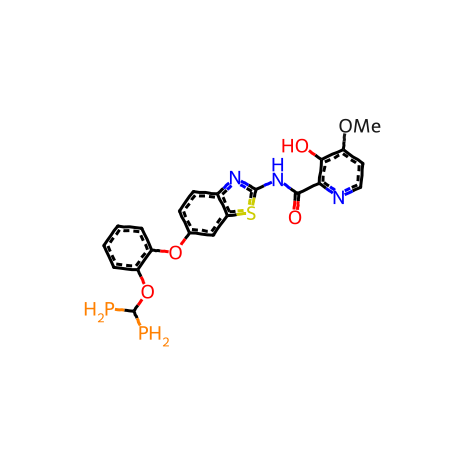 COc1ccnc(C(=O)Nc2nc3ccc(Oc4ccccc4OC(P)P)cc3s2)c1O